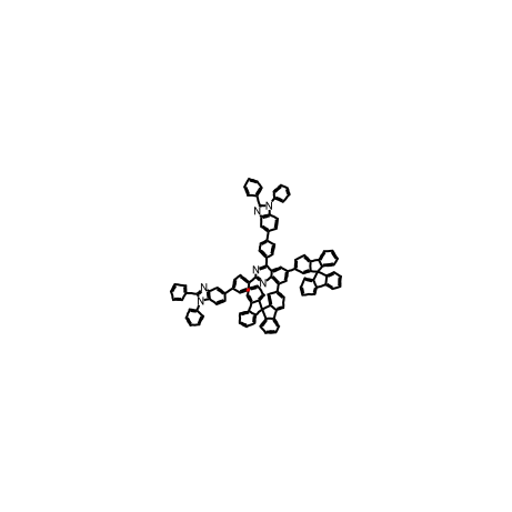 c1ccc(-c2nc3cc(-c4ccc(-c5nc(-c6ccc(-c7ccc8c(c7)nc(-c7ccccc7)n8-c7ccccc7)cc6)c6cc(-c7ccc8c(c7)C7(c9ccccc9-c9ccccc97)c7ccccc7-8)cc(-c7ccc8c(c7)C7(c9ccccc9-c9ccccc97)c7ccccc7-8)c6n5)cc4)ccc3n2-c2ccccc2)cc1